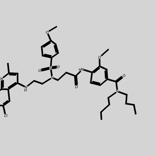 CCCCN(CCCC)C(=O)c1ccc(NC(=O)CCN(CCNc2cc(C)nc3ccc(Cl)cc23)S(=O)(=O)c2ccc(OC)cc2)c(OC)c1